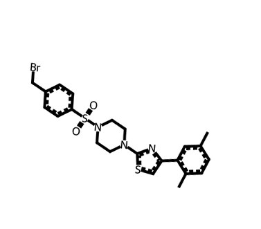 Cc1ccc(C)c(-c2csc(N3CCN(S(=O)(=O)c4ccc(CBr)cc4)CC3)n2)c1